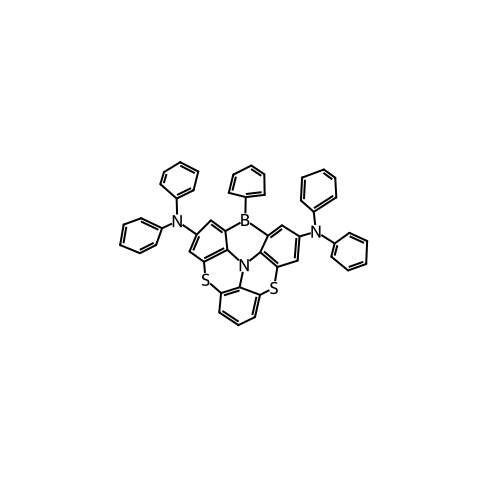 c1ccc(B2c3cc(N(c4ccccc4)c4ccccc4)cc4c3N3c5c(cccc5Sc5cc(N(c6ccccc6)c6ccccc6)cc2c53)S4)cc1